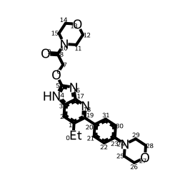 CCc1cc2[nH]c(OCC(=O)N3CCOCC3)nc2nc1-c1ccc(N2CCOCC2)cc1